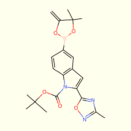 C=C1OB(c2ccc3c(c2)cc(-c2nc(C)no2)n3C(=O)OC(C)(C)C)OC1(C)C